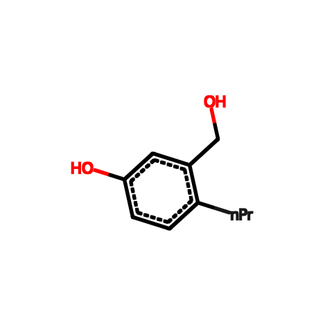 CCCc1ccc(O)cc1CO